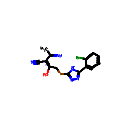 CC(=N)/C(C#N)=C(/O)CSc1nnc(-c2ccccc2Br)[nH]1